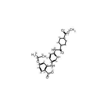 COC(=O)C1CCC(C(=O)Nc2ccc(Nc3cc(OC(C)C)ccc3[N+](=O)[O-])cn2)CC1